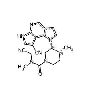 C[C@@H]1CCN(C(=O)N(C)CC#N)C[C@@H]1n1ccc2cnc3[nH]cc(C#N)c3c21